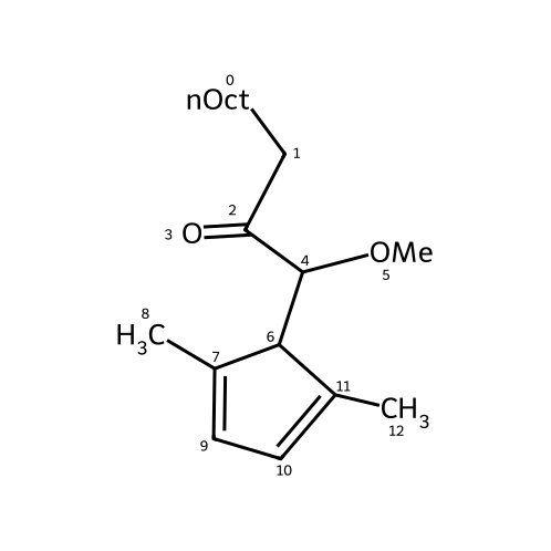 CCCCCCCCCC(=O)C(OC)C1C(C)=CC=C1C